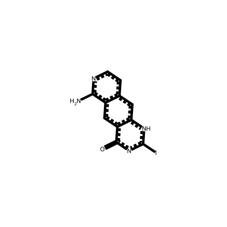 Nc1nccc2cc3[nH]c(I)nc(=O)c3cc12